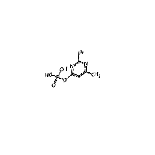 Cc1cc(OP(=O)(O)O)nc(C(C)C)n1